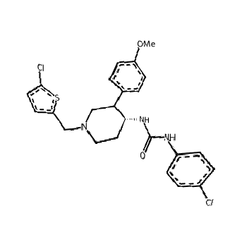 COc1ccc(C2CN(Cc3ccc(Cl)s3)CC[C@H]2NC(=O)Nc2ccc(Cl)cc2)cc1